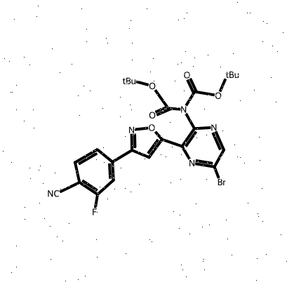 CC(C)(C)OC(=O)N(C(=O)OC(C)(C)C)c1ncc(Br)nc1-c1cc(-c2ccc(C#N)c(F)c2)no1